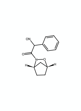 O=NC(C(=O)N1O[C@@H]2CC[C@H]1C2)c1ccccc1